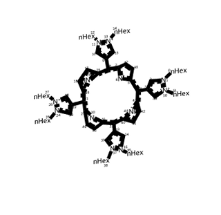 CCCCCCn1cc(-c2c3nc(c(-c4cn(CCCCCC)[n+](CCCCCC)c4)c4ccc([nH]4)c(-c4cn(CCCCCC)[n+](CCCCCC)c4)c4nc(c(-c5cn(CCCCCC)[n+](CCCCCC)c5)c5ccc2[nH]5)C=C4)C=C3)c[n+]1CCCCCC